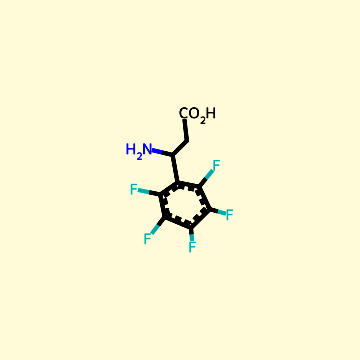 NC(CC(=O)O)c1c(F)c(F)c(F)c(F)c1F